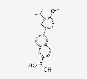 COc1ccc(-c2ccc3cc(B(O)O)ccc3c2)cc1C(C)C